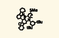 CSc1ccc2c(c1)B1c3c(cc4c(oc5ccccc54)c3-c3cccc4c5ccccc5n1c34)N2c1cc(C(C)(C)C)cc(C(C)(C)C)c1